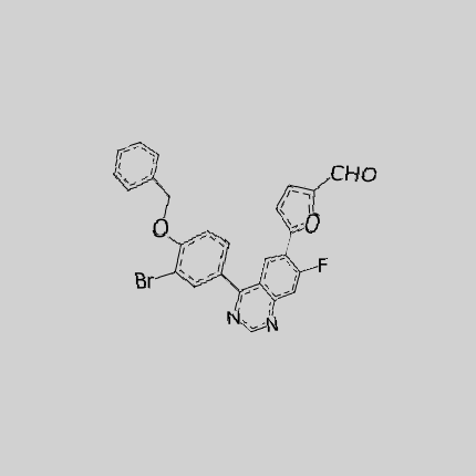 O=Cc1ccc(-c2cc3c(-c4ccc(OCc5ccccc5)c(Br)c4)ncnc3cc2F)o1